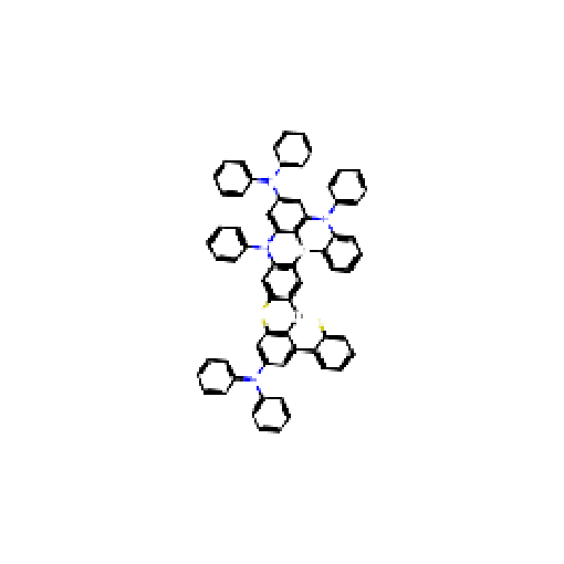 Sc1ccccc1-c1cc(N(c2ccccc2)c2ccccc2)cc2c1Bc1cc3c(cc1S2)N(c1ccccc1)c1cc(N(c2ccccc2)c2ccccc2)cc2c1B3c1ccccc1N2c1ccccc1